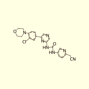 N#CCc1ccc(NC(=O)Nc2cncc(-c3ccc(N4CCOCC4)c(Cl)c3)n2)cn1